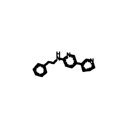 c1ccc(CCNc2ccc(-c3cccnc3)cn2)cc1